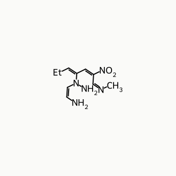 CC/C=C(/C=C(\C=N/C)[N+](=O)[O-])N(N)/C=C\N